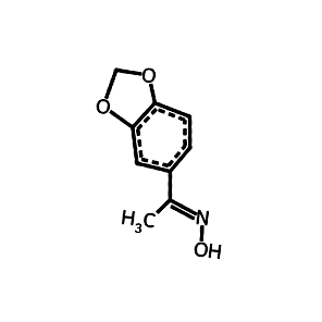 CC(=NO)c1ccc2c(c1)OCO2